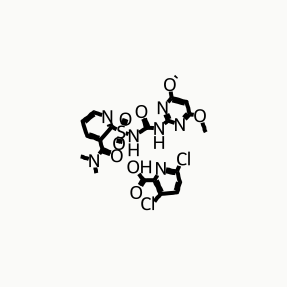 COc1cc(OC)nc(NC(=O)NS(=O)(=O)c2ncccc2C(=O)N(C)C)n1.O=C(O)c1nc(Cl)ccc1Cl